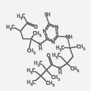 CC(=O)C(C)CC(C)(C)Nc1nc(S)nc(NC(C)(C)CC(C)(C)NC(=O)C(C)(C)C(C)(C)C)n1